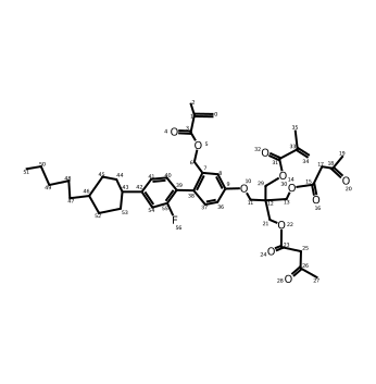 C=C(C)C(=O)OCc1cc(OCC(COC(=O)CC(C)=O)(COC(=O)CC(C)=O)COC(=O)C(=C)C)ccc1-c1ccc(C2CCC(CCCCC)CC2)cc1F